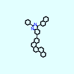 c1ccc(-c2nc(-c3ccc4ccccc4c3)c3ccc(-c4ccc5c(ccc6ccc7c8ccccc8ccc7c65)c4)cc3n2)cc1